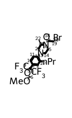 CCCc1cc(C(OCOC)(C(F)(F)F)C(F)(F)F)ccc1N1CCN(C(=O)CBr)[C@H](C)C1